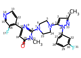 Cc1cc(N2CCN(c3nc(-c4ccncc4F)cc(=O)n3C)CC2)n(-c2cccc(F)c2)n1